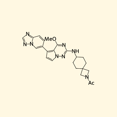 COc1nc(NC2CCC3(CC2)CN(C(C)=O)C3)nn2ccc(-c3ccc4ncnn4c3)c12